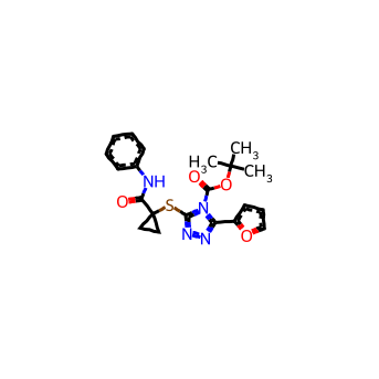 CC(C)(C)OC(=O)n1c(SC2(C(=O)Nc3ccccc3)CC2)nnc1-c1ccco1